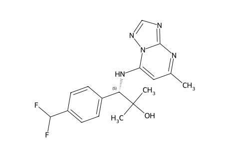 Cc1cc(N[C@@H](c2ccc(C(F)F)cc2)C(C)(C)O)n2ncnc2n1